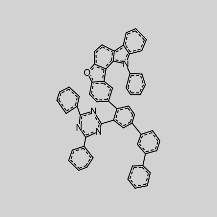 c1ccc(-c2cccc(-c3ccc(-c4ccc5oc6ccc7c8ccccc8n(-c8ccccc8)c7c6c5c4)c(-c4nc(-c5ccccc5)nc(-c5ccccc5)n4)c3)c2)cc1